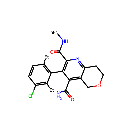 CCCNC(=O)c1nc2c(c(C(N)=O)c1-c1c(CC)ccc(Cl)c1CC)COCC2